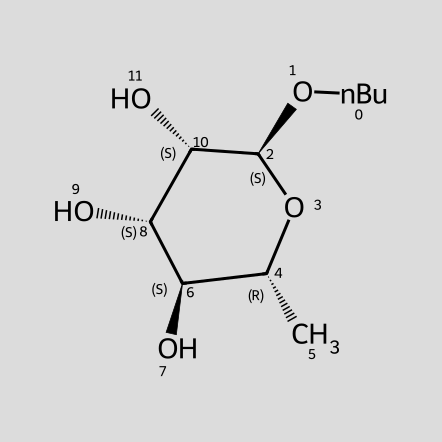 CCCCO[C@H]1O[C@H](C)[C@@H](O)[C@H](O)[C@@H]1O